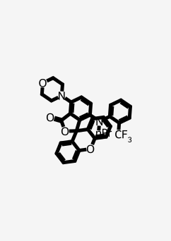 CCCN(c1ccccc1C(F)(F)F)c1ccc(N2CCOCC2)c2c1C1(OC2=O)c2ccccc2Oc2ccccc21